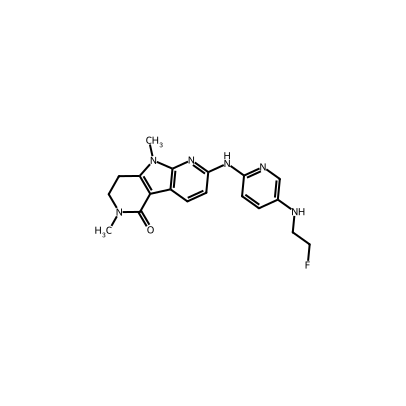 CN1CCc2c(c3ccc(Nc4ccc(NCCF)cn4)nc3n2C)C1=O